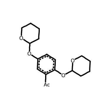 CC(=O)c1cc(OC2CCCCO2)ccc1OC1CCCCO1